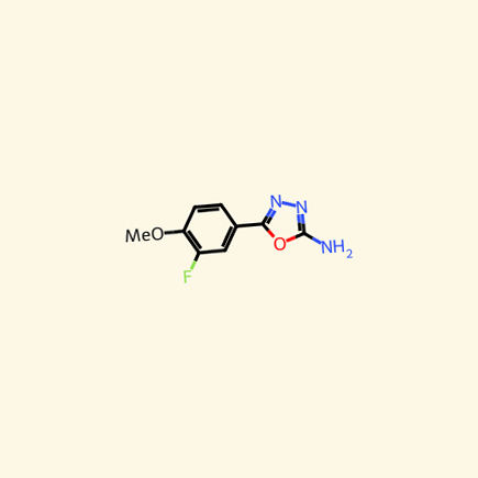 COc1ccc(-c2nnc(N)o2)cc1F